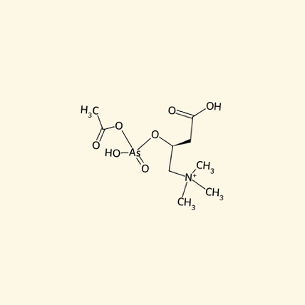 CC(=O)O[As](=O)(O)O[C@@H](CC(=O)O)C[N+](C)(C)C